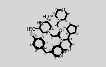 C[C@@H]1CN(CC(=O)N2c3cc(Cc4ccc(F)cc4)cnc3OCC2C2CCCC2)[C@@H](CN2CCOC[C@H]2C)CN1